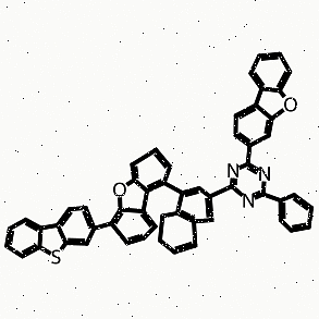 C1=Cc2cc(-c3nc(-c4ccccc4)nc(-c4ccc5c(c4)oc4ccccc45)n3)cc(-c3cccc4oc5c(-c6ccc7c(c6)sc6ccccc67)cccc5c34)c2CC1